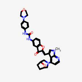 Cn1cc(/C=C2\Oc3ccc(NC(=O)Nc4ccc(N5CCOCC5)cc4)cc3C2=O)c2c(N3CC4CCC(C3)O4)ccnc21